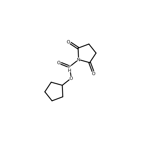 O=C1CCC(=O)N1[PH](=O)OC1CCCC1